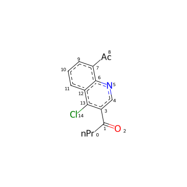 CCCC(=O)c1cnc2c(C(C)=O)cccc2c1Cl